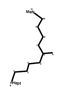 CCCCCCCCCCCC(C)CCCCNC